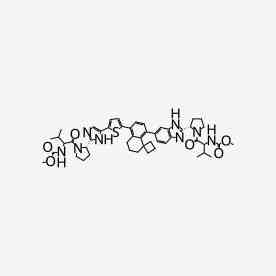 COC(=O)N[C@H](C(=O)N1CCC[C@H]1c1ncc(-c2ccc(-c3ccc(-c4ccc5nc([C@@H]6CCCN6C(=O)[C@@H](NC(=O)OC)C(C)C)[nH]c5c4)c4c3CCCC43CCC3)s2)[nH]1)C(C)C